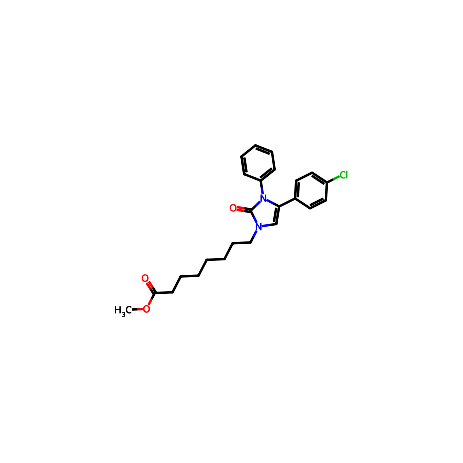 COC(=O)CCCCCCCn1cc(-c2ccc(Cl)cc2)n(-c2ccccc2)c1=O